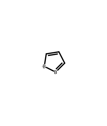 [B]1B=CC=C1